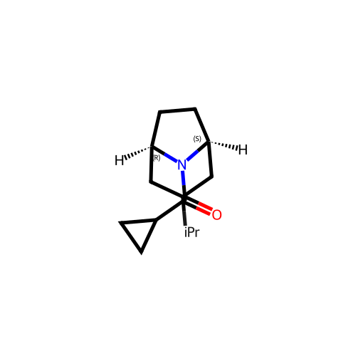 CC(C)C1C[C@H]2CC[C@@H](C1)N2C(=O)C1CC1